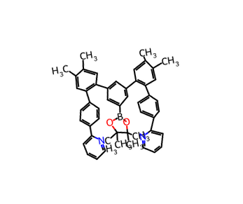 Cc1cc(-c2ccc(-c3ccccn3)cc2)c(-c2cc(B3OC(C)(C)C(C)(C)O3)cc(-c3cc(C)c(C)cc3-c3ccc(-c4ccccn4)cc3)c2)cc1C